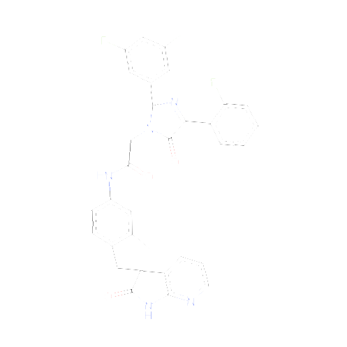 C[C@]1(c2cc(F)cc(F)c2)N=C(c2ccccc2F)C(=O)N1CC(=O)Nc1ccc2c(c1)C[C@@]1(C2)C(=O)Nc2ncccc21